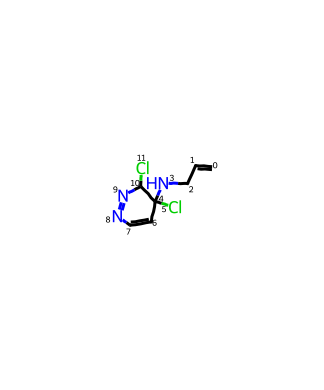 C=CCNC1(Cl)C=CN=NC1Cl